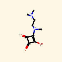 CN(C)CCN(C)c1c(O)c(=O)c1=O